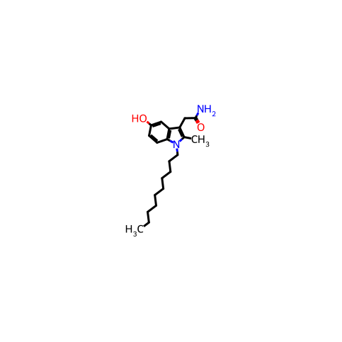 CCCCCCCCCCn1c(C)c(CC(N)=O)c2cc(O)ccc21